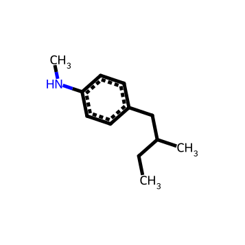 CCC(C)Cc1ccc(NC)cc1